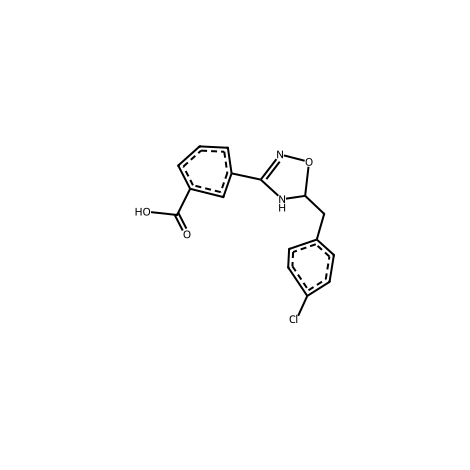 O=C(O)c1cccc(C2=NOC(Cc3ccc(Cl)cc3)N2)c1